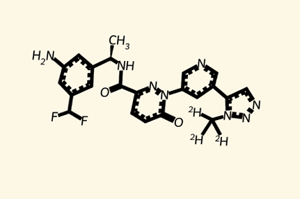 [2H]C([2H])([2H])n1nncc1-c1cncc(-n2nc(C(=O)N[C@H](C)c3cc(N)cc(C(F)F)c3)ccc2=O)c1